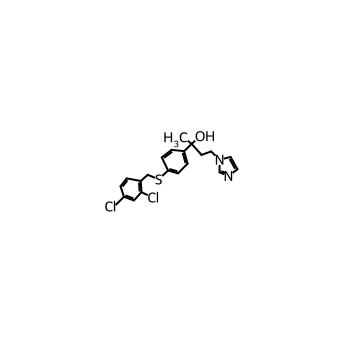 CC(O)(CCn1ccnc1)c1ccc(SCc2ccc(Cl)cc2Cl)cc1